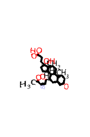 CC(=O)/C=C\C(=O)[C@@H]1CC2=CC(=O)CC[C@]2(C)C2=CC[C@@]3(C)[C@@H](CC[C@@]3(O)CCC(=O)O)[C@@H]21